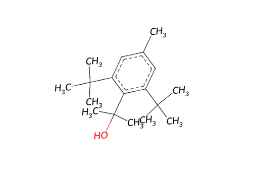 Cc1cc(C(C)(C)C)c(C(C)(C)O)c(C(C)(C)C)c1